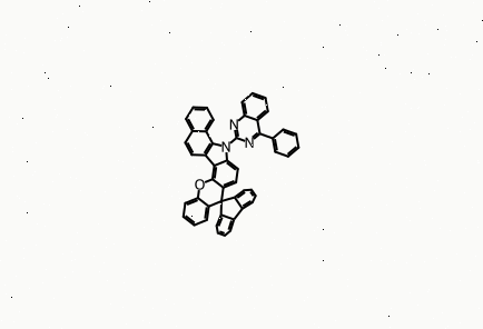 c1ccc(-c2nc(-n3c4ccc5c(c4c4ccc6ccccc6c43)Oc3ccccc3C53c4ccccc4-c4ccccc43)nc3ccccc23)cc1